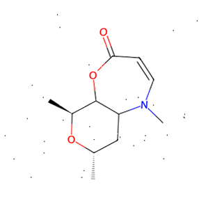 C[C@@H]1O[C@@H](C)CC2C1OC(=O)C=CN2C